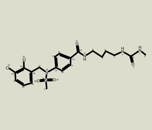 CNC(=O)NCCCCNC(=O)c1ccc(N(Cc2cccc(Cl)c2Cl)S(C)(=O)=O)cc1